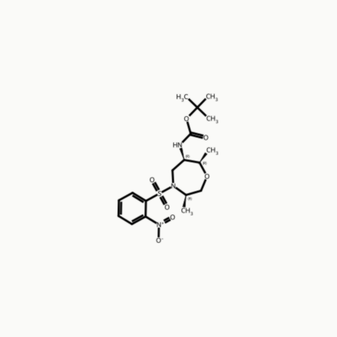 C[C@@H]1CO[C@H](C)[C@H](NC(=O)OC(C)(C)C)CN1S(=O)(=O)c1ccccc1[N+](=O)[O-]